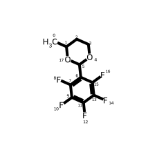 CC1CCOC(c2c(F)c(F)c(F)c(F)c2F)O1